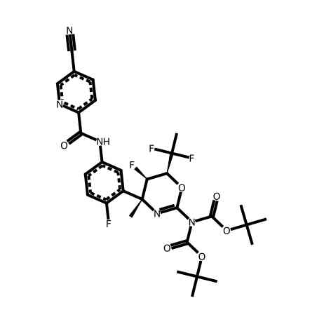 CC(C)(C)OC(=O)N(C(=O)OC(C)(C)C)C1=N[C@](C)(c2cc(NC(=O)c3ccc(C#N)cn3)ccc2F)[C@@H](F)[C@@H](C(C)(F)F)O1